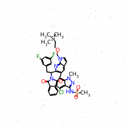 Cn1nc(NS(C)(=O)=O)c2c(Cl)ccc(-c3cc4ccn(COCC[Si](C)(C)C)c4nc3C(Cc3cc(F)cc(F)c3)N3C(=O)c4ccccc4C3=O)c21